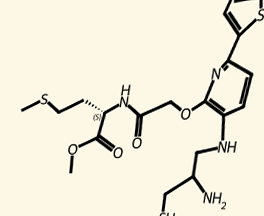 COC(=O)[C@H](CCSC)NC(=O)COc1nc(-c2cccs2)ccc1NCC(N)CS